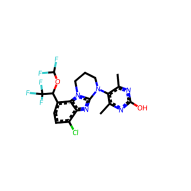 Cc1nc(O)nc(C)c1N1CCCn2c1nc1c(Cl)ccc(C(OC(F)F)C(F)(F)F)c12